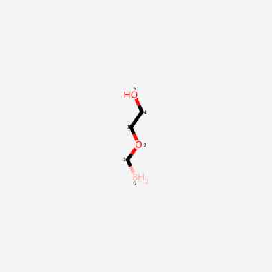 BCOCCO